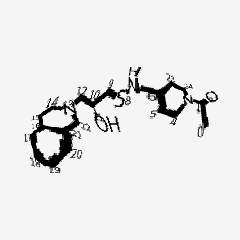 CC(=O)N1CCC(NSC[C@H](O)CN2CCc3ccccc3C2)CC1